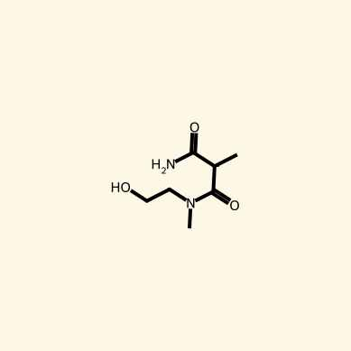 C[C](C(N)=O)C(=O)N(C)CCO